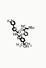 CC(C)(C)/C=C(\C#N)C(=O)N1CCC[C@@H]1Cn1c(NC(=O)c2ccc(-c3ccnc(F)c3)s2)nc2cc(C(C)(C)O)ccc21